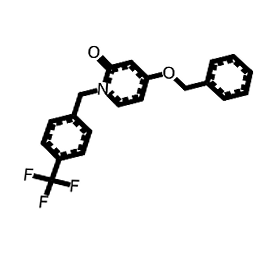 O=c1cc(OCc2ccccc2)ccn1Cc1ccc(C(F)(F)F)cc1